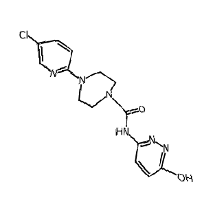 O=C(Nc1ccc(O)nn1)N1CCN(c2ccc(Cl)cn2)CC1